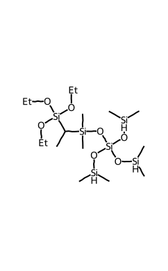 CCO[Si](OCC)(OCC)C(C)[Si](C)(C)O[Si](O[SiH](C)C)(O[SiH](C)C)O[SiH](C)C